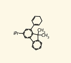 CC(C)c1cc(C2=CCCC=C2)c2c(c1)-c1ccccc1C2(C)C